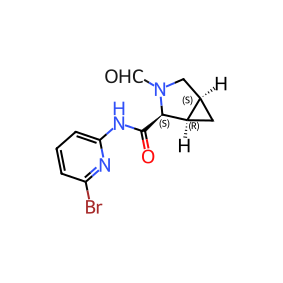 O=CN1C[C@H]2C[C@H]2[C@H]1C(=O)Nc1cccc(Br)n1